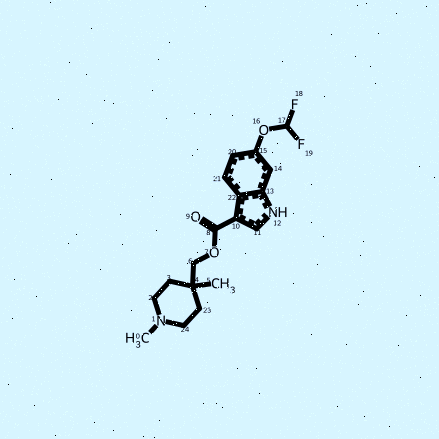 CN1CCC(C)(COC(=O)c2c[nH]c3cc(OC(F)F)ccc23)CC1